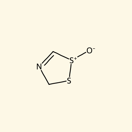 [O-][S+]1C=NCS1